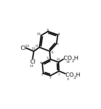 O=C(O)c1cccc(-c2ccccc2C(Cl)Cl)c1C(=O)O